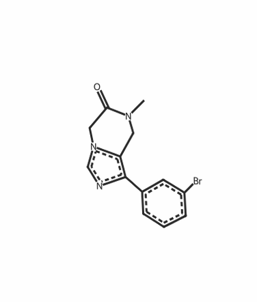 CN1Cc2c(-c3cccc(Br)c3)ncn2CC1=O